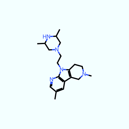 Cc1cnc2c(c1)c1c(n2CCN2CC(C)NC(C)C2)CCN(C)C1